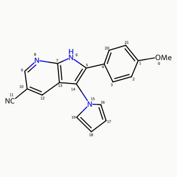 COc1ccc(-c2[nH]c3ncc(C#N)cc3c2-n2cccc2)cc1